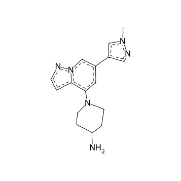 Cn1cc(-c2cc(N3CCC(N)CC3)c3ccnn3c2)cn1